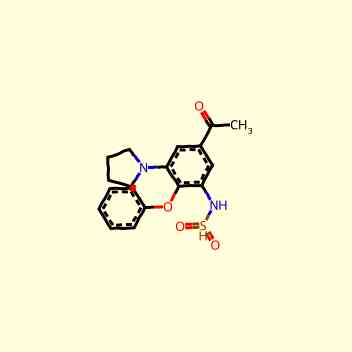 CC(=O)c1cc(N[SH](=O)=O)c(Oc2ccccc2)c(N2CCCC2)c1